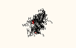 CSCC[C@H](NC(=O)[C@H](Cc1ccccc1)NC(=O)CNC(=O)[C@@H](C)NC(=O)[C@@H](N)Cc1ccc(O)cc1)C(=O)N[C@H](C(=O)N[C@@H](CO)C(=O)N[C@@H](CCC(=O)O)C(=O)N[C@@H](CCCCN)C(=O)N[C@@H](CO)C(=O)N[C@@H](CCC(N)=O)C(=O)N[C@H](C(=O)N1CCC[C@H]1C(=O)O)[C@@H](C)O)[C@@H](C)O